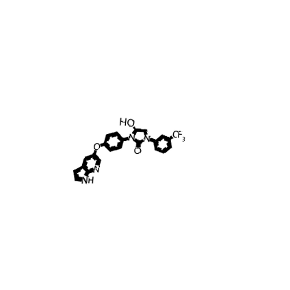 O=C1N(c2cccc(C(F)(F)F)c2)C[C@H](O)N1c1ccc(Oc2cnc3[nH]ccc3c2)cc1